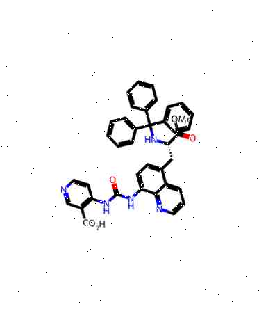 COC(=O)[C@H](Cc1ccc(NC(=O)Nc2ccncc2C(=O)O)c2ncccc12)NC(c1ccccc1)(c1ccccc1)c1ccccc1